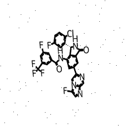 O=C(Nc1cc(-c2cn3c(F)cnc3cn2)cc2c1[C@H](c1cc(F)ccc1Cl)NC2=O)c1cc(F)cc(C(F)(F)F)c1